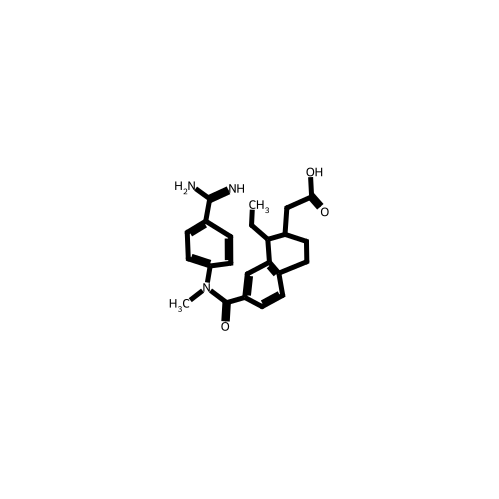 CCC1c2cc(C(=O)N(C)c3ccc(C(=N)N)cc3)ccc2CCC1CC(=O)O